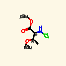 CCCCOC(=O)[C@@H](NCl)[C@@H](C)OCCCC